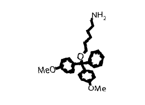 COc1ccc(C(OCCCCCCN)(c2ccccc2)c2ccc(OC)cc2)cc1